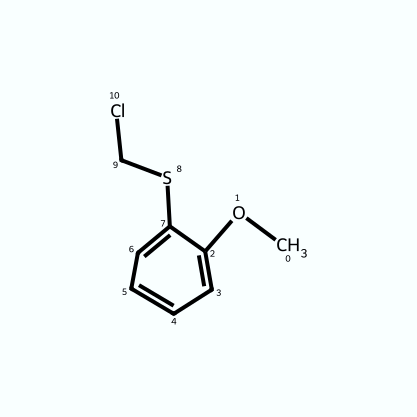 COc1ccccc1SCCl